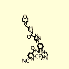 C[C@H]1CN(c2ccc(-n3cc(C(=O)NCCCN4CCOCC4)nn3)cc2NC(=O)c2ccc(C#N)nc2C(F)(F)F)CCN1C